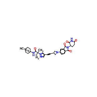 CC(C)(C(=O)NC12CCC(C#N)(CC1)CC2)n1cc(C#CC2CN(c3ccc4c(c3)C(=O)N(C3CCC(=O)NC3=O)C4=O)C2)cn1